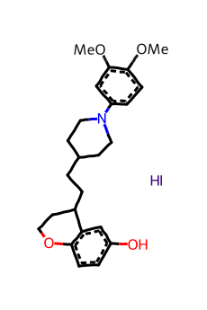 COc1ccc(N2CCC(CCC3CCOc4ccc(O)cc43)CC2)cc1OC.I